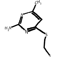 Cc1cc(SCI)nc(N)n1